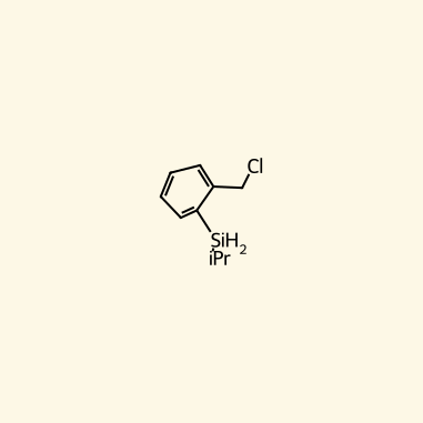 CC(C)[SiH2]c1ccccc1CCl